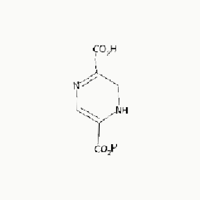 O=C(O)C1=CN=C(C(=O)O)CN1